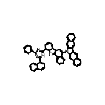 c1ccc(-c2nc(-c3cccc4ccccc34)nc(-c3cccc4c3oc3c5ccccc5c(-n5c6cc7ccccc7cc6c6cc7ccccc7cc65)cc43)n2)cc1